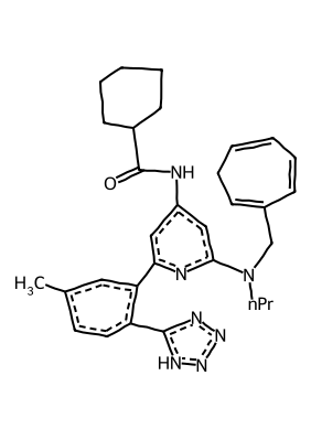 CCCN(CC1=CCC=CC=C1)c1cc(NC(=O)C2CCCCC2)cc(-c2cc(C)ccc2-c2nnn[nH]2)n1